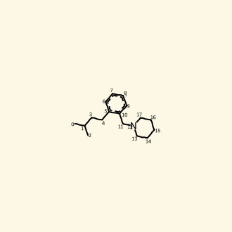 CC(C)CCc1cc[c]cc1CN1CCCCC1